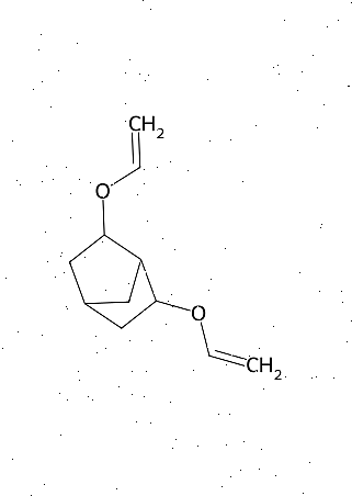 C=COC1CC2CC(OC=C)C1C2